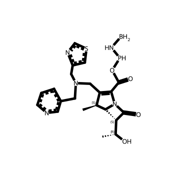 BNPOC(=O)C1=C(CN(Cc2cccnc2)Cc2cscn2)[C@H](C)C2[C@@H]([C@@H](C)O)C(=O)N12